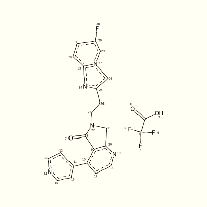 O=C(O)C(F)(F)F.O=C1c2c(-c3ccncc3)ccnc2CN1CCc1cn2cc(F)ccc2n1